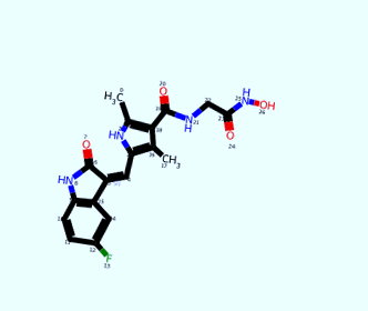 Cc1[nH]c(/C=C2\C(=O)Nc3ccc(F)cc32)c(C)c1C(=O)NCC(=O)NO